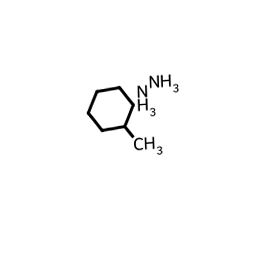 CC1CCCCC1.N.N